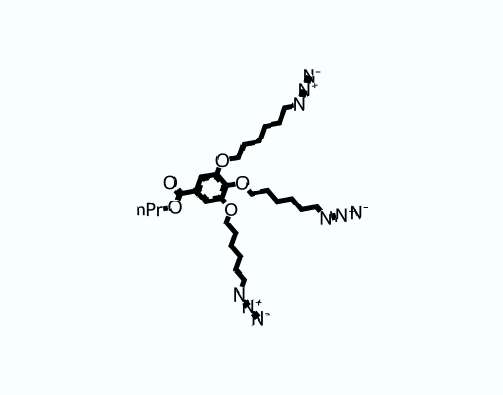 CCCOC(=O)c1cc(OCCCCCCN=[N+]=[N-])c(OCCCCCCN=[N+]=[N-])c(OCCCCCCN=[N+]=[N-])c1